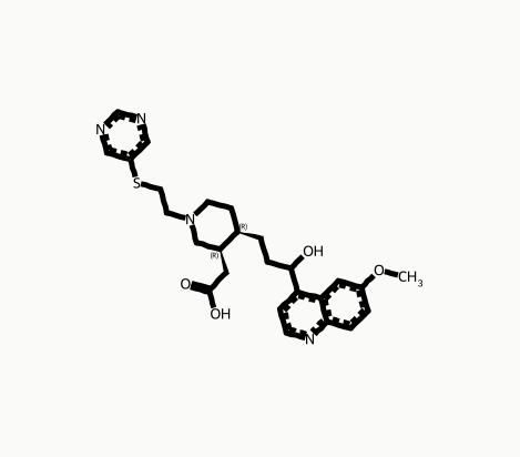 COc1ccc2nccc(C(O)CC[C@@H]3CCN(CCSc4cncnc4)C[C@@H]3CC(=O)O)c2c1